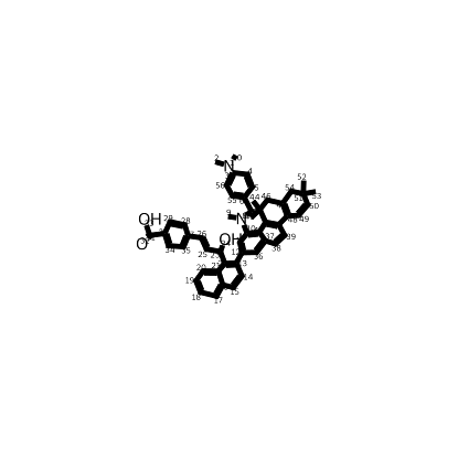 CN(C)c1ccc(CN(C)c2cc(-c3ccc4ccccc4c3C(O)C=Cc3ccc(C(=O)O)cc3)cc3ccc4c(c23)C(C)(C)CC2=C4C=CC(C)(C)C2)cc1